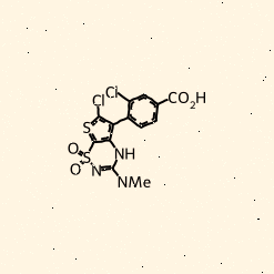 CNC1=NS(=O)(=O)c2sc(Cl)c(-c3ccc(C(=O)O)cc3Cl)c2N1